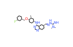 Cc1cc(Nc2ncnc3ccc(/C=N/NC(=N)N(C)C)cc23)ccc1OCc1cccc(F)c1